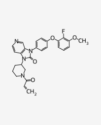 C=CC(=O)N1CCCC(n2c(=O)n(-c3ccc(Oc4cccc(OC)c4F)cc3)c3cnccc32)C1